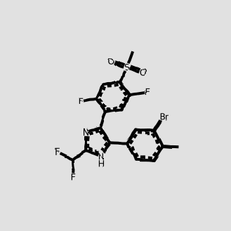 Cc1ccc(-c2[nH]c(C(F)F)nc2-c2cc(F)c(S(C)(=O)=O)cc2F)cc1Br